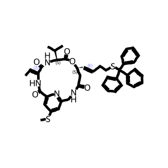 C/C=C1\NC(=O)c2cc(SC)cc(n2)CNC(=O)C[C@@H](/C=C/CCSC(c2ccccc2)(c2ccccc2)c2ccccc2)OC(=O)[C@H](C(C)C)NC1=O